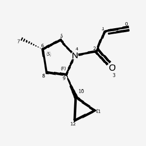 C=CC(=O)N1C[C@@H](C)C[C@@H]1C1CC1